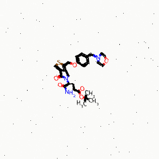 CC(C)(C)OC(=O)CC[C@@H](C(N)=O)N1Cc2c(csc2COc2ccc(CN3CCOCC3)cc2)C1=O